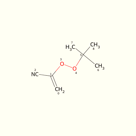 C=C(C#N)OOC(C)(C)C